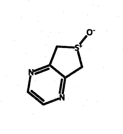 [O-][S+]1Cc2nccnc2C1